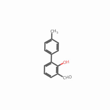 Cc1ccc(-c2cccc(C=O)c2O)cc1